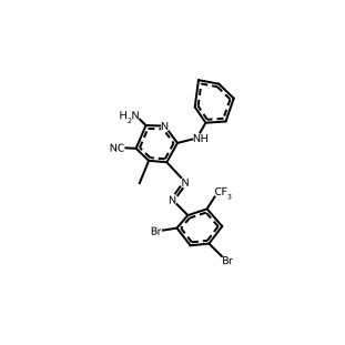 Cc1c(C#N)c(N)nc(Nc2ccccc2)c1N=Nc1c(Br)cc(Br)cc1C(F)(F)F